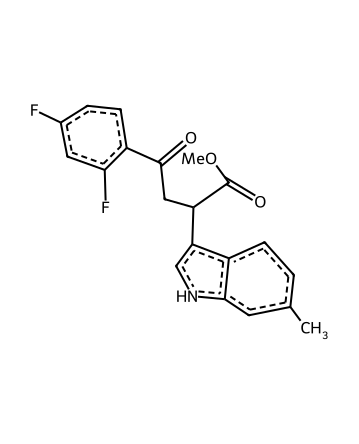 COC(=O)C(CC(=O)c1ccc(F)cc1F)c1c[nH]c2cc(C)ccc12